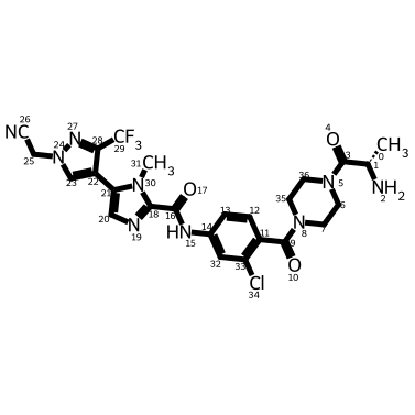 C[C@H](N)C(=O)N1CCN(C(=O)c2ccc(NC(=O)c3ncc(-c4cn(CC#N)nc4C(F)(F)F)n3C)cc2Cl)CC1